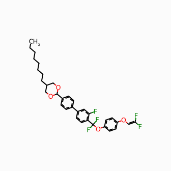 CCCCCCCCC1COC(c2ccc(-c3ccc(C(F)(F)Oc4ccc(OC=C(F)F)cc4)c(F)c3)cc2)OC1